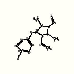 C=CC1C(C)C(C=O)C(C)N1Cc1ccc(F)cc1